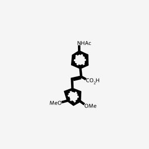 COc1cc(/C=C(\C(=O)O)c2ccc(NC(C)=O)cc2)cc(OC)c1